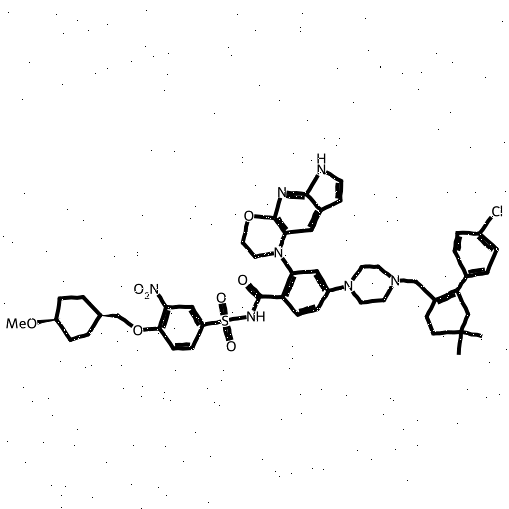 CO[C@H]1CC[C@@H](COc2ccc(S(=O)(=O)NC(=O)c3ccc(N4CCN(CC5=C(c6ccc(Cl)cc6)CC(C)(C)CC5)CC4)cc3N3CCOc4nc5[nH]ccc5cc43)cc2[N+](=O)[O-])CC1